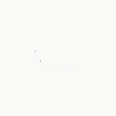 CCCCCCCCCCCCN(C)CCC(=O)O